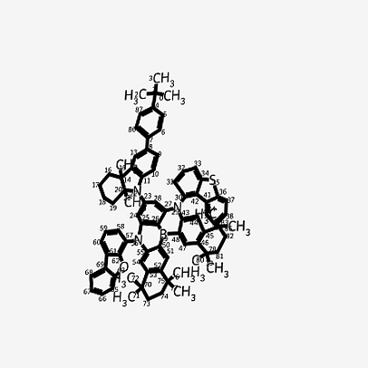 CC(C)(C)c1ccc(-c2ccc3c(c2)C2(C)CCCCC2(C)N3c2cc3c4c(c2)N(c2cccc5sc6ccccc6c25)c2cc5c(cc2B4c2cc4c(cc2N3c2cccc3c2oc2ccccc23)C(C)(C)CCC4(C)C)C(C)(C)CCC5(C)C)cc1